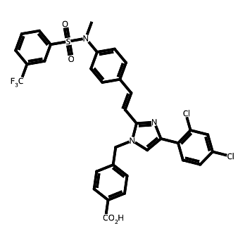 CN(c1ccc(/C=C/c2nc(-c3ccc(Cl)cc3Cl)cn2Cc2ccc(C(=O)O)cc2)cc1)S(=O)(=O)c1cccc(C(F)(F)F)c1